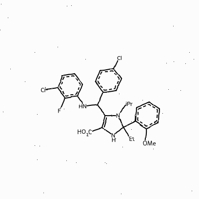 CCC1(c2ccccc2OC)NC(C(=O)O)=C(C(Nc2cccc(Cl)c2F)c2ccc(Cl)cc2)N1C(C)C